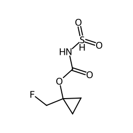 O=C(N[SH](=O)=O)OC1(CF)CC1